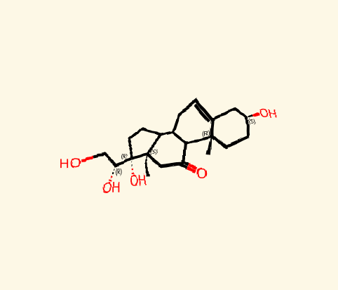 C[C@]12CC[C@H](O)CC1=CCC1C2C(=O)C[C@@]2(C)C1CC[C@]2(O)[C@H](O)CO